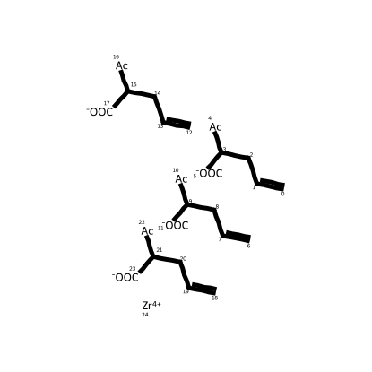 C=CCC(C(C)=O)C(=O)[O-].C=CCC(C(C)=O)C(=O)[O-].C=CCC(C(C)=O)C(=O)[O-].C=CCC(C(C)=O)C(=O)[O-].[Zr+4]